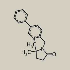 CC1(C)CCC(=O)N1Cc1ccc(-c2ccccc2)cn1